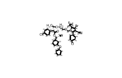 CC(C)[C@H](C(=O)O[C@H](C#N)c1cccc(Oc2ccccc2)c1)c1ccc(Cl)cc1.CCOCn1c(-c2ccc(Cl)cc2)c(C#N)c(Br)c1C(F)(F)F